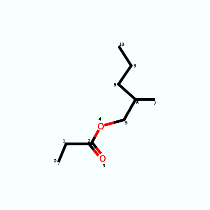 [CH2]CC(=O)OCC(C)CCC